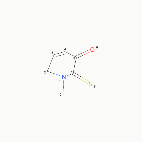 CN1CC=CC(=O)C1=S